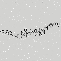 Cc1c(NC(=O)c2nc3c(n2C)CCC(CCCC24CCC(C(=O)O)(CC2)C4)CCC3)cccc1-c1cccc(NC(=O)c2nc3c(n2C)CCN(CC24CCC(C(=O)O)(CC2)C4)C3)c1Cl